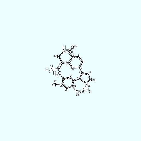 Cc1cc(-c2c(-c3ccc4c(=O)[nH]nc(CN)c4c3)cnn2C)c(C#N)cc1Cl